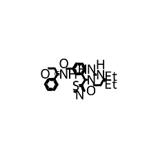 CCC1(CC)CC(=O)N(C(c2cccc(C(=O)N[C@H]3CCOc4ccccc43)c2)c2cncs2)C(=N)N1